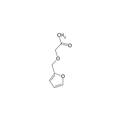 CC(=O)COCc1ccco1